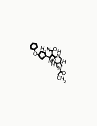 C=CC(=O)N1C[C@@H]2CNc3c(C(N)=O)c(-c4ccc(Oc5ccccc5)cc4)nn3[C@@H]2C1